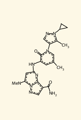 CNc1cc(Nc2cc(C)cn(-c3cnn(C4CC4)c3C)c2=O)nc2c(C(N)=O)cnn12